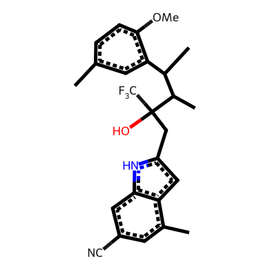 COc1ccc(C)cc1C(C)C(C)C(O)(Cc1cc2c(C)cc(C#N)cc2[nH]1)C(F)(F)F